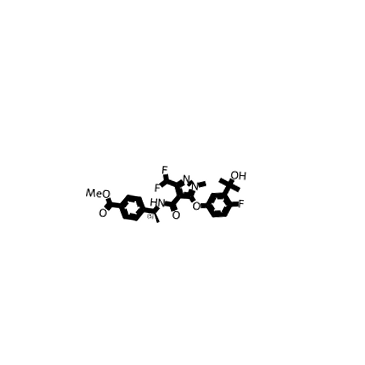 COC(=O)c1ccc([C@H](C)NC(=O)c2c(C(F)F)nn(C)c2Oc2ccc(F)c(C(C)(C)O)c2)cc1